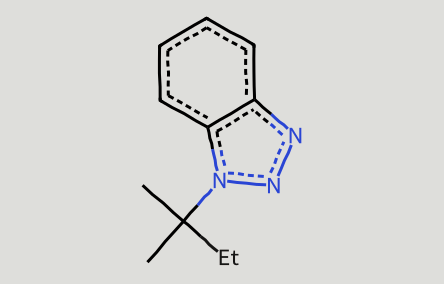 CCC(C)(C)n1nnc2ccccc21